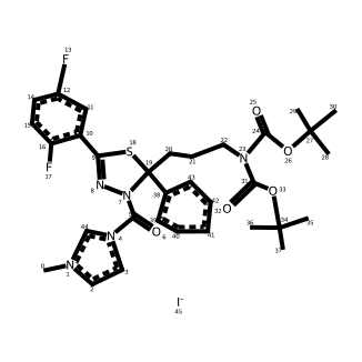 C[n+]1ccn(C(=O)N2N=C(c3cc(F)ccc3F)SC2(CCCN(C(=O)OC(C)(C)C)C(=O)OC(C)(C)C)c2ccccc2)c1.[I-]